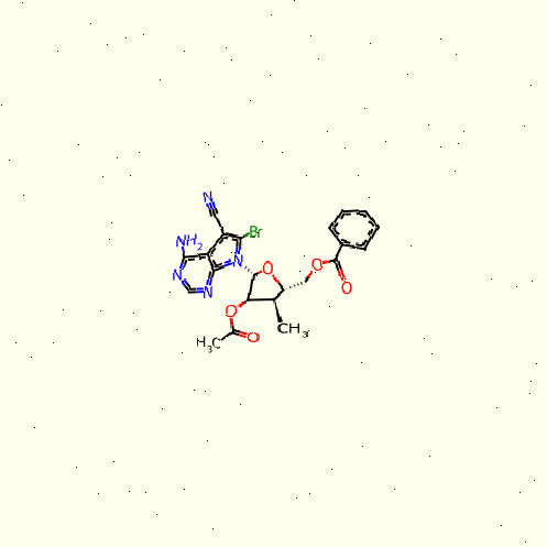 CC(=O)O[C@@H]1[C@H](C)[C@@H](COC(=O)c2ccccc2)O[C@H]1n1c(Br)c(C#N)c2c(N)ncnc21